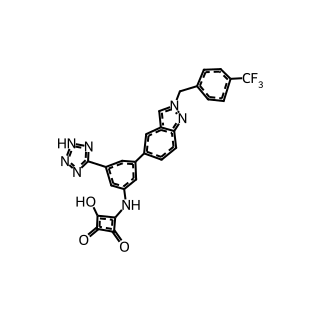 O=c1c(O)c(Nc2cc(-c3ccc4nn(Cc5ccc(C(F)(F)F)cc5)cc4c3)cc(-c3nn[nH]n3)c2)c1=O